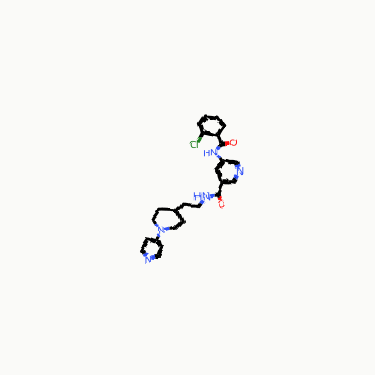 O=C(NCCC1CCN(c2ccncc2)CC1)c1cncc(NC(=O)c2ccccc2Cl)c1